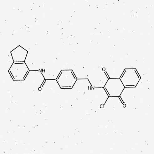 O=C(Nc1cccc2c1CCC2)c1ccc(CNC2=C(Cl)C(=O)c3ccccc3C2=O)cc1